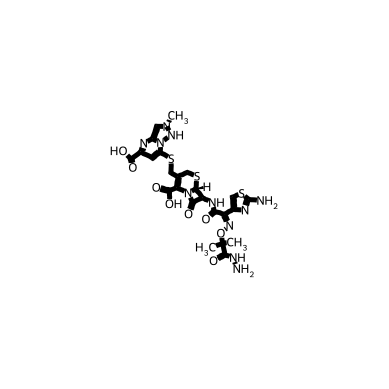 CN1C=C2N=C(C(=O)O)C=C(SCC3=C(C(=O)O)N4C(=O)C(NC(=O)/C(=N\OC(C)(C)C(=O)NN)c5csc(N)n5)[C@H]4SC3)N2N1